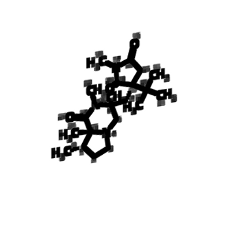 C[C@H]1CCN2C[C@@](C)(C[C@@]3(C(C)(C)C)CC(=O)N(C)C3=O)N(C)C(=O)[C@@]12C